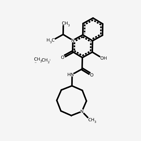 CC(C)n1c(=O)c(C(=O)NC2CCC[CH]N(C)CC2)c(O)c2ccccc21.[CH2].[CH2]